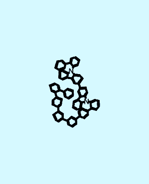 c1ccc(-c2ccccc2-c2ccc(-c3cccc(-c4cccc(-c5ccc(-c6ccccc6-n6c7ccccc7c7cc(-c8ccc9c(c8)c8ccccc8n9-c8ccccc8-c8ccccc8)ccc76)cc5)c4)c3)cc2)cc1